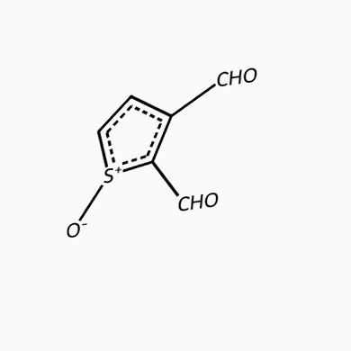 O=Cc1cc[s+]([O-])c1C=O